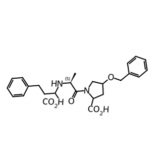 C[C@H](NC(CCc1ccccc1)C(=O)O)C(=O)N1CC(OCc2ccccc2)CC1C(=O)O